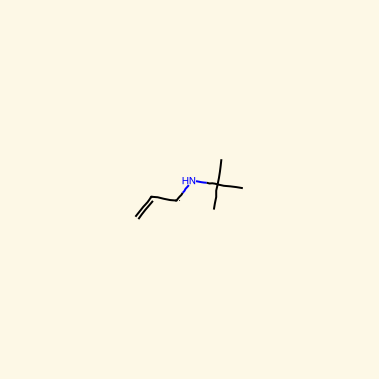 C=C[CH]NC(C)(C)C